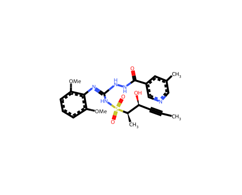 CC#C[C@H](O)[C@@H](C)S(=O)(=O)NC(=Nc1c(OC)cccc1OC)NNC(=O)c1cncc(C)c1